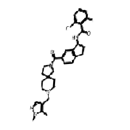 Cc1c(CN2CCC3(CC2)CCN(C(=O)c2ccc4c(c2)C(NC(=O)c2c(F)cccc2Cl)CC4)C3)cnn1C